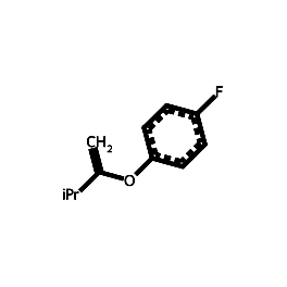 C=C(Oc1ccc(F)cc1)C(C)C